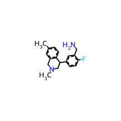 Cc1ccc2c(c1)CN(C)CC2c1ccc(F)c(CN)c1